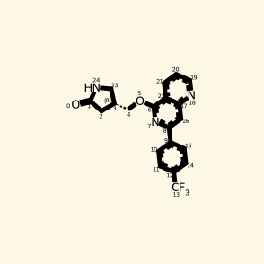 O=C1C[C@@H](COc2nc(-c3ccc(C(F)(F)F)cc3)cc3ncccc23)CN1